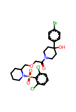 O=C(COCC1CCCCN1S(=O)(=O)c1c(Cl)cccc1Cl)N1CCC(O)(c2ccc(Br)cc2)CC1